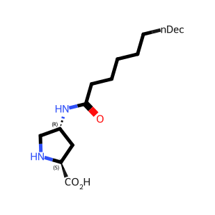 CCCCCCCCCCCCCCCC(=O)N[C@H]1CN[C@H](C(=O)O)C1